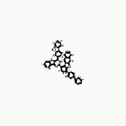 c1ccc(-c2ccc(-c3ccc(-c4nc(-c5ccc6c(c5)oc5ccccc56)c5sc6ccccc6c5n4)c4c3oc3cc5ccccc5cc34)cc2)cc1